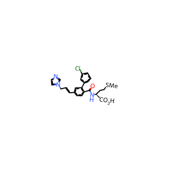 CSCC[C@H](NC(=O)c1ccc(C=CCn2ccnc2)cc1-c1cccc(Cl)c1)C(=O)O